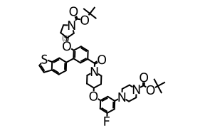 CC(C)(C)OC(=O)N1CCN(c2cc(F)cc(OC3CCN(C(=O)c4ccc(O[C@H]5CCN(C(=O)OC(C)(C)C)C5)c(-c5ccc6ccsc6c5)c4)CC3)c2)CC1